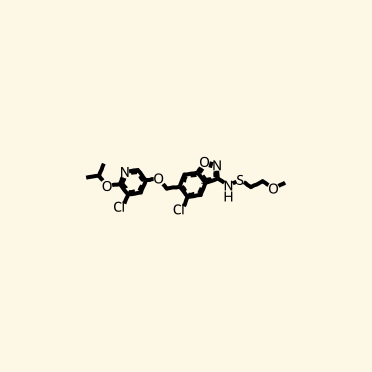 COCCSNc1noc2cc(COc3cnc(OC(C)C)c(Cl)c3)c(Cl)cc12